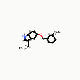 COc1cccc(COc2ccc3[nH]cc(CC(=O)O)c3c2)c1